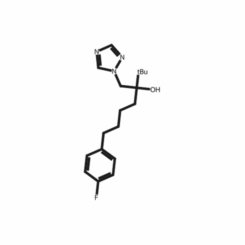 CC(C)(C)C(O)(CCCCc1ccc(F)cc1)Cn1cncn1